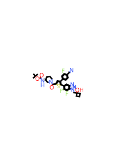 CC(C)(C)OC(=O)N[C@@H]1CCCN(C(=O)c2cc(-c3ccc(C#N)c(F)c3)c(-c3cc4nnn(CC5(O)CCC5)c4c(F)c3F)s2)C1